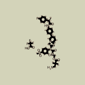 COc1cc(S(C)(=O)=O)ccc1N(C(=O)OCOC(=O)C(C)(C)CN)c1nc2ccc(-c3ccc(NC(=O)[C@H](C)c4ccc(F)cc4)cc3)cn2n1.O=C(O)C(F)(F)F